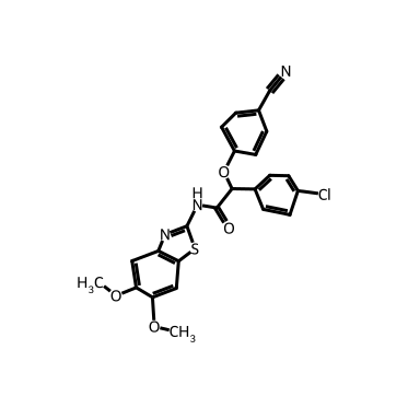 COc1cc2nc(NC(=O)C(Oc3ccc(C#N)cc3)c3ccc(Cl)cc3)sc2cc1OC